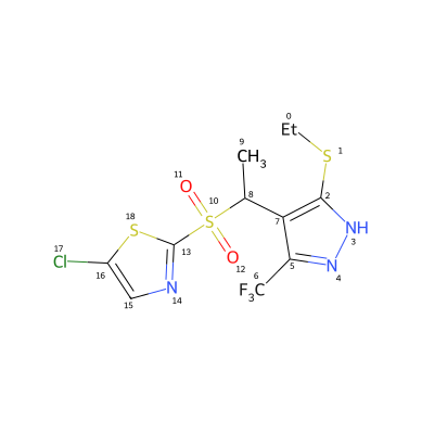 CCSc1[nH]nc(C(F)(F)F)c1C(C)S(=O)(=O)c1ncc(Cl)s1